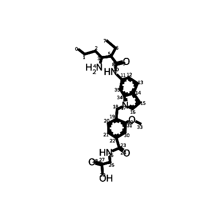 CCCC(N)C(CC)C(=O)Nc1ccc2ccn(Cc3ccc(C(=O)NCC(=O)O)cc3OC)c2c1